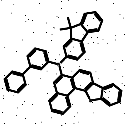 CC1(C)c2ccccc2-c2ccc(N(c3cccc(-c4ccccc4)c3)c3cc4ccccc4c4c3ccc3c5ccccc5sc34)cc21